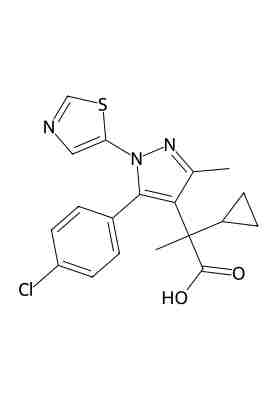 Cc1nn(-c2cncs2)c(-c2ccc(Cl)cc2)c1C(C)(C(=O)O)C1CC1